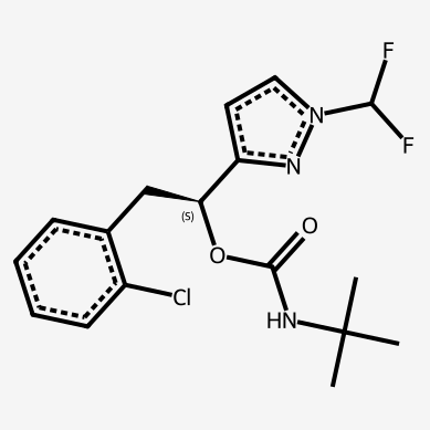 CC(C)(C)NC(=O)O[C@@H](Cc1ccccc1Cl)c1ccn(C(F)F)n1